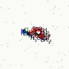 CC[C@H]1OC(=O)[C@H](C)C(=O)[C@H](C)[C@@H](O[C@@H]2O[C@H](C)C[C@H](N(C)C)[C@H]2O)C(C)(OC)C[C@@H](C)C(=O)[C@H](C)C2[C@H](SCCOc3cc(NCc4c(Cl)cncc4Cl)ccc3OC)C(=O)O[C@@]21C